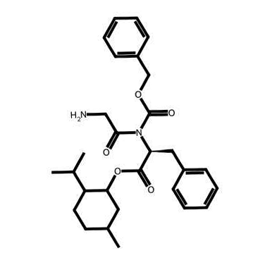 CC1CCC(C(C)C)C(OC(=O)[C@H](Cc2ccccc2)N(C(=O)CN)C(=O)OCc2ccccc2)C1